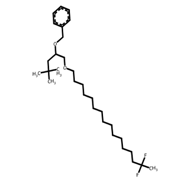 CC(C)(C)CC(COCCCCCCCCCCCCCCC(C)(F)F)OCc1ccccc1